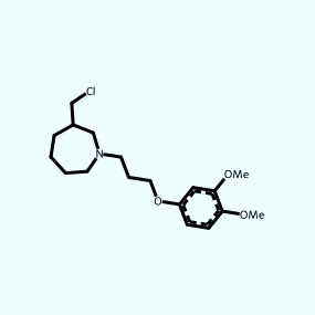 COc1ccc(OCCCN2CCCCC(CCl)C2)cc1OC